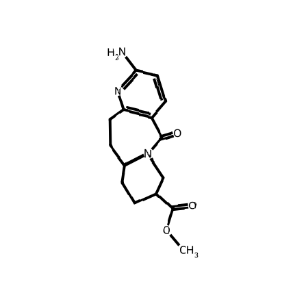 COC(=O)C1CCC2CCc3nc(N)ccc3C(=O)N2C1